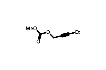 [CH2]CC#CCOC(=O)OC